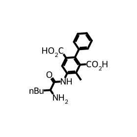 CCCCC(N)C(=O)Nc1cc(C(=O)O)c(-c2ccccc2)c(C(=O)O)c1C